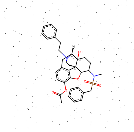 CC(=O)Oc1ccc2c3c1OC1C(N(C)S(=O)(=O)Cc4ccccc4)CC[C@@]4(O)[C@@H](C2)N(CCc2ccccc2)CC[C@]314